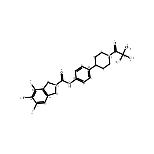 CC(C)(O)C(=O)N1CCC(c2ccc(NC(=O)N3Cc4cc(F)c(F)c(F)c4C3)cc2)CC1